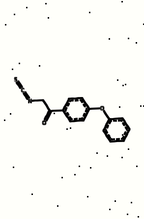 O=C(CN=C=S)c1ccc(Oc2ccccc2)cc1